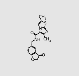 Cc1cn2c(C(=O)NCc3ccc4c(c3)C(=O)CO4)c(C)nc2s1